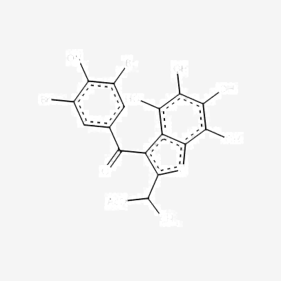 CC(=O)OC(C)c1oc2c(O)c(O)c(O)c(O)c2c1C(=O)c1cc(Br)c(N=O)c(Br)c1